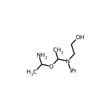 CC(N)OC(C)N(CCO)C(C)C